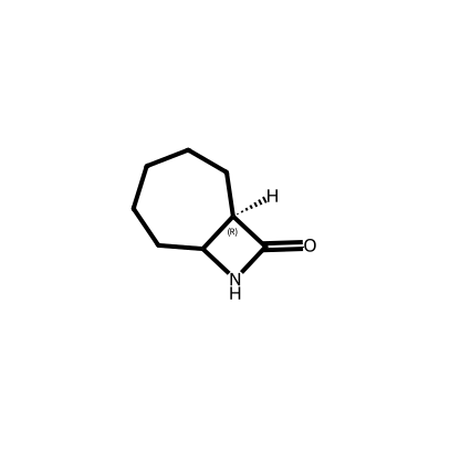 O=C1NC2CCCCC[C@@H]12